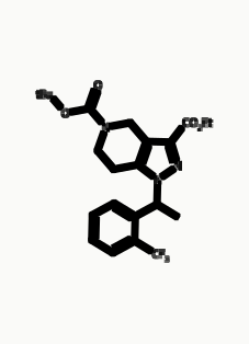 CCOC(=O)c1nn(C(C)c2ccccc2C(F)(F)F)c2c1CN(C(=O)OC(C)(C)C)CC2